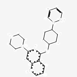 C1=CNN(C2CCC(Oc3nc(N4CCOCC4)cc4ncccc34)CC2)C=C1